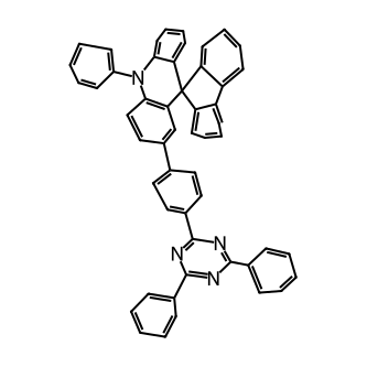 c1ccc(-c2nc(-c3ccccc3)nc(-c3ccc(-c4ccc5c(c4)C4(c6ccccc6-c6ccccc64)c4ccccc4N5c4ccccc4)cc3)n2)cc1